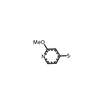 COc1cc([S])ccn1